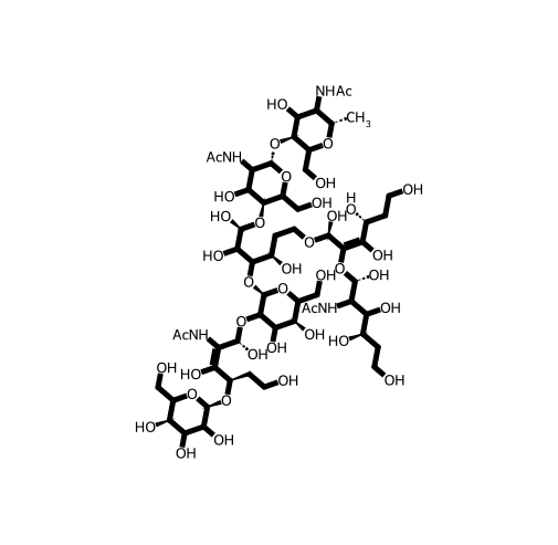 CC(=O)N/C(=C(\O)[C@@H](CCO)O[C@@H]1OC(CO)[C@H](O)C(O)C1O)[C@@H](O)OC1C(O)[C@H](O)C(CO)O[C@@H]1OC(C(O)[C@@H](O)O[C@@H]1C(CO)O[C@@H](O[C@@H]2C(CO)O[C@@H](C)C(NC(C)=O)C2O)C(NC(C)=O)C1O)[C@H](O)CCO[C@@H](O)/C(O[C@H](O)C(NC(C)=O)C(O)[C@H](O)CCO)=C(/O)[C@H](O)CCO